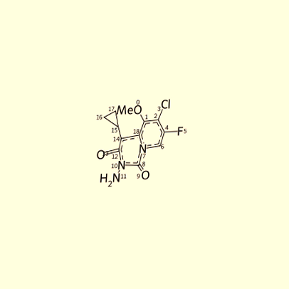 COc1c(Cl)c(F)cn2c(=O)n(N)c(=O)c(C3CC3)c12